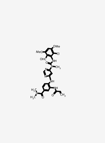 C=CC(=O)Nc1cc(C(=O)N(C)C)ccc1Nc1cc(N(C)C(=O)Nc2c(Cl)c(OC)cc(OC)c2C=O)ncn1